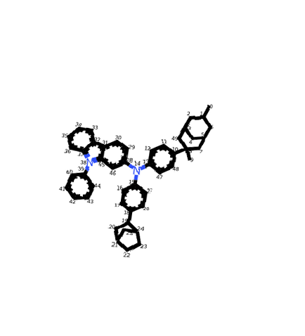 CC1CC2CC(C1)CC(C)(c1ccc(N(c3ccc(C4CC5CCC4C5)cc3)c3ccc4c5ccccc5n(-c5ccccc5)c4c3)cc1)C2